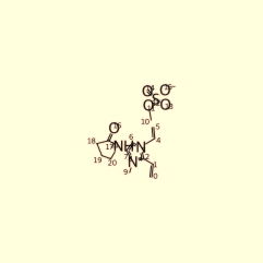 C=Cc1n(C=C)cc[n+]1C.COS(=O)(=O)[O-].O=C1CCCN1